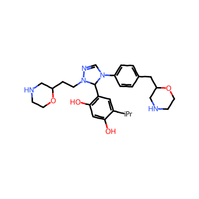 CC(C)c1cc(C2N(CCC3CNCCO3)N=CN2c2ccc(CC3CNCCO3)cc2)c(O)cc1O